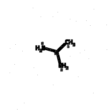 BC(B)C